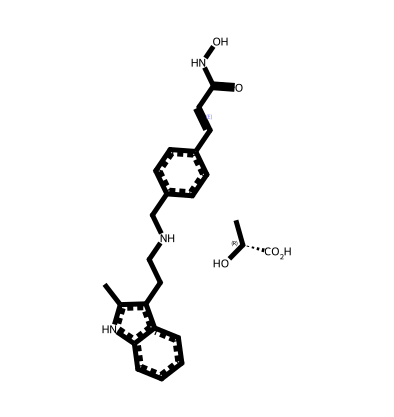 C[C@@H](O)C(=O)O.Cc1[nH]c2ccccc2c1CCNCc1ccc(/C=C/C(=O)NO)cc1